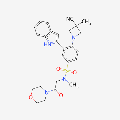 CN(CC(=O)N1CCOCC1)S(=O)(=O)c1ccc(N2CC(C)(C#N)C2)c(-c2cc3ccccc3[nH]2)c1